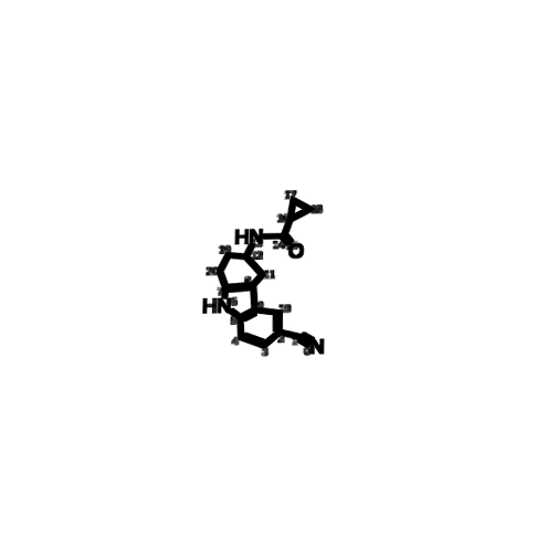 N#Cc1ccc2[nH]c3c(c2c1)CC(NC(=O)C1CC1)CC3